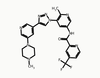 Cc1ncc(NC(=O)c2cc(C(F)(F)F)ccn2)cc1-n1cc(-c2cncc(N3CCN(C)CC3)c2)nn1